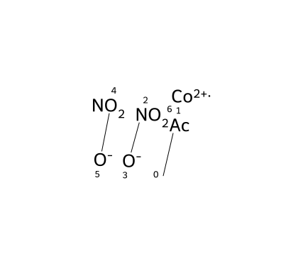 CC(C)=O.O=[N+]([O-])[O-].O=[N+]([O-])[O-].[Co+2]